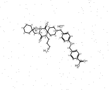 CCCCN1C(=O)[C@@H](CC2(O)CCCCC2)NC(=O)C12CCN(Cc1ccc(OCc3ccc(C(=O)O)cc3)cc1)CC2.Cl